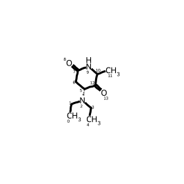 CCN(CC)[C@@H]1CC(=O)NC(C)C1=O